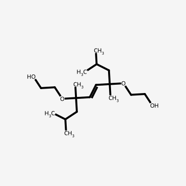 CC(C)CC(C)(C=CC(C)(CC(C)C)OCCO)OCCO